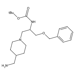 CC(C)(C)OC(=O)NC(COCc1ccccc1)CN1CCC(CN)CC1